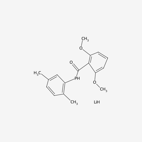 COc1cccc(OC)c1C(=O)Pc1cc(C)ccc1C.[LiH]